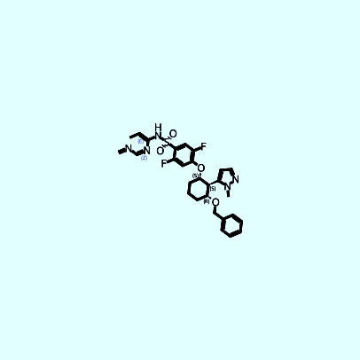 C=N/C=N\C(=C/C)NS(=O)(=O)c1cc(F)c(O[C@H]2CCC[C@@H](OCc3ccccc3)[C@@H]2c2ccnn2C)cc1F